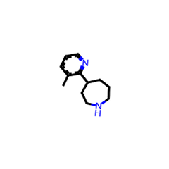 Cc1cccnc1C1CCCNCC1